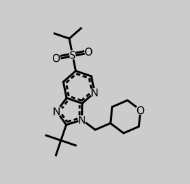 CC(C)S(=O)(=O)c1cnc2c(c1)nc(C(C)(C)C)n2CC1CCOCC1